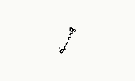 O=C1CCCN1CCSCCSCCSCCN1CCCC1=O